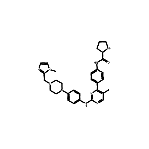 Cc1cnc(Nc2ccc(N3CCN(Cc4nccn4C)CC3)cc2)nc1-c1ccc(NC(=O)C2CCCN2)cc1